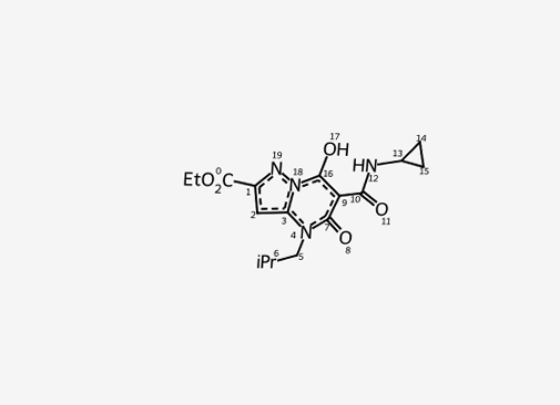 CCOC(=O)c1cc2n(CC(C)C)c(=O)c(C(=O)NC3CC3)c(O)n2n1